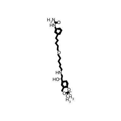 CC1(C)OCc2cc([C@H](O)CNCCCCCCOCCCCCc3cccc(NC(N)=O)c3)ccc2O1